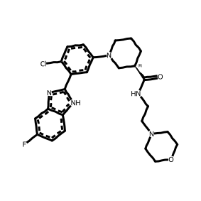 O=C(NCCN1CCOCC1)[C@@H]1CCCN(c2ccc(Cl)c(-c3nc4cc(F)ccc4[nH]3)c2)C1